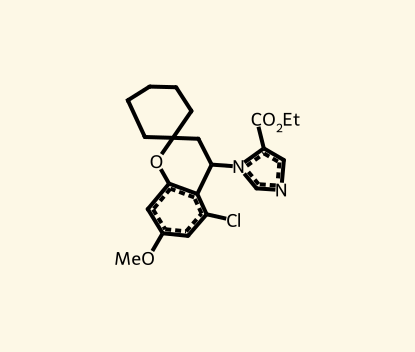 CCOC(=O)c1cncn1C1CC2(CCCCC2)Oc2cc(OC)cc(Cl)c21